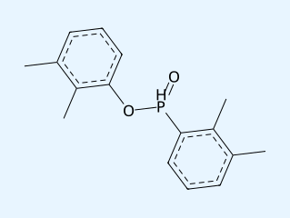 Cc1cccc(O[PH](=O)c2cccc(C)c2C)c1C